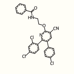 N#Cc1cc(-c2ccc(Cl)cc2)c(-c2ccc(Cl)cc2Cl)nc1OCCNC(=O)c1ccccc1